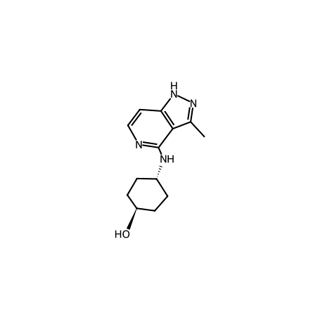 Cc1n[nH]c2ccnc(N[C@H]3CC[C@H](O)CC3)c12